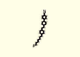 N#Cc1ccc(C2CCC(CCC3CCC(CCCC=CCCF)CC3)CC2)cc1